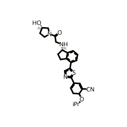 CC(C)OC1CC=C(c2ncc(-c3cccc4c3CC[C@@H]4NCC(=O)N3CC[C@H](O)C3)s2)C=C1C#N